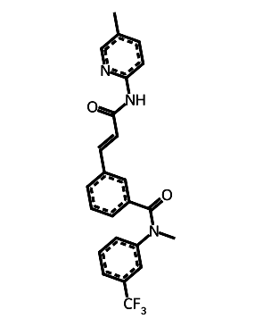 Cc1ccc(NC(=O)C=Cc2cccc(C(=O)N(C)c3cccc(C(F)(F)F)c3)c2)nc1